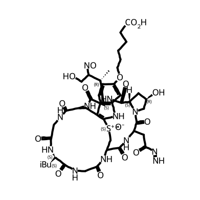 CC[C@H](C)[C@@H]1NC(=O)CNC(=O)C2Cc3c([nH]c4cc(OCCCCCC(=O)O)ccc34)[S@+]([O-])CC(NC(=O)CNC1=O)C(=O)NC(CC(=O)N=N)C(=O)N1C[C@H](O)C[C@H]1C(=O)N[C@@H]([C@@H](C)C(CO)N=O)C(=O)N2